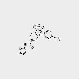 Cc1ccc(S(=O)(=O)C(C)(F)C2CCN(C(=O)Nc3ccon3)CC2)cc1